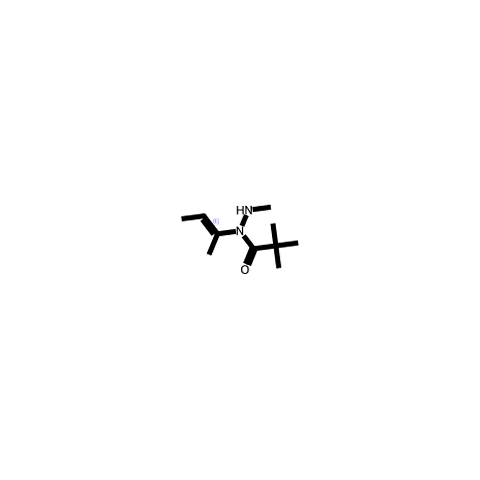 C/C=C(\C)N(NC)C(=O)C(C)(C)C